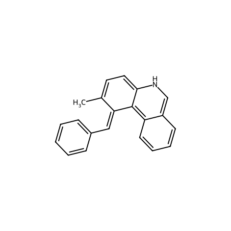 Cc1ccc2c(c1=Cc1ccccc1)=c1ccccc1=CN2